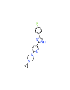 Fc1ccc(-c2c[nH]c(-c3ccc(N4CCN(C5CC5)CC4)nc3)n2)cc1